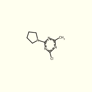 Cc1nc(Cl)nc(N2CCCC2)n1